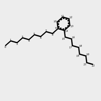 CCCCCCCC[CH]c1ccccc1CCCCCCCC